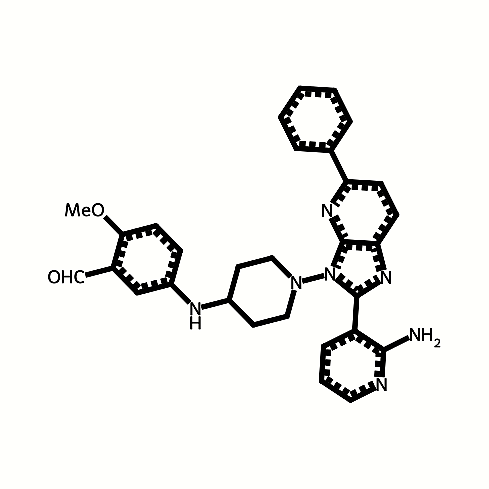 COc1ccc(NC2CCN(n3c(-c4cccnc4N)nc4ccc(-c5ccccc5)nc43)CC2)cc1C=O